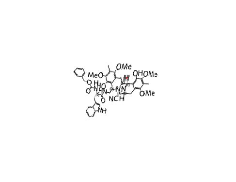 COc1c(C)c(OC)c2c(c1O)[C@@H]1[C@@H]3Cc4c(OC)c(C)c(OC)c(O)c4[C@H](CNC(=O)[C@H](Cc4c[nH]c5ccccc45)NC(=O)OCc4ccccc4)N3[C@@H](C#N)[C@H](C2)N1C